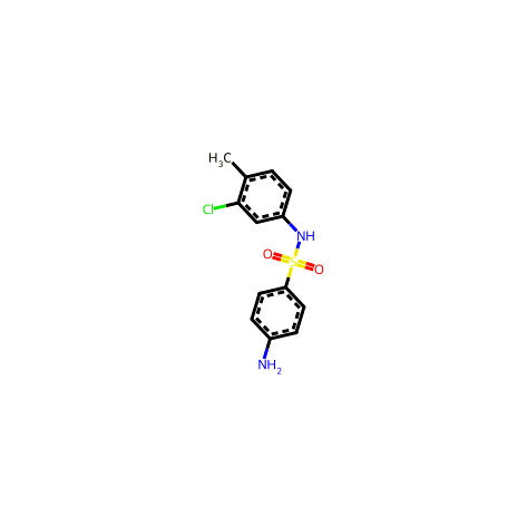 Cc1ccc(NS(=O)(=O)c2ccc(N)cc2)cc1Cl